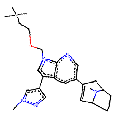 CN1C2C=C(c3cnc4c(c3)c(-c3cnn(C)c3)cn4COCC[Si](C)(C)C)CC1CC2